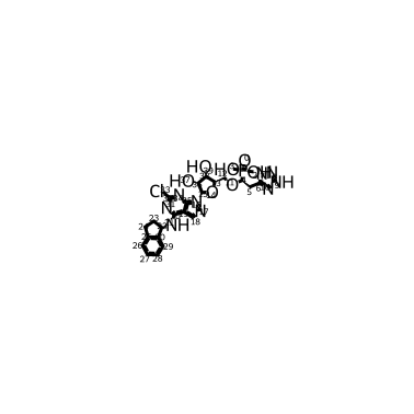 O=P(O)(O)[C@@H](Cc1nn[nH]n1)OC[C@H]1O[C@@H](n2ncc3c(N[C@@H]4CCc5ccccc54)nc(Cl)nc32)[C@H](O)[C@@H]1O